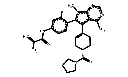 C=C(C)C(=O)Nc1ccc(-c2c(C3=CC[C@@H](C(=O)N4CCCC4)CC3)c3c(N)ncnc3n2C)c(F)c1